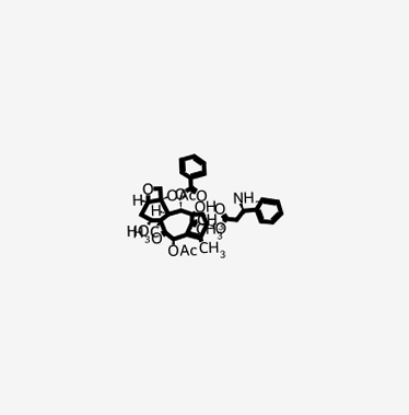 CC(=O)O[C@H]1C(=O)[C@@]2(C)[C@H]([C@H](OC(=O)c3ccccc3)[C@]3(O)C[C@H](OC(=O)C[C@@H](N)c4ccccc4)C(C)=C1C3(C)C)[C@]1(OC(C)=O)CO[C@@H]1C[C@@H]2O